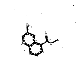 COC(=O)c1cccc2ncc(N)cc12